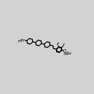 CCCCOc1ccc(CCC2CCC(C3CCC(C4CCC(CCC)CC4)CC3)CC2)c(F)c1F